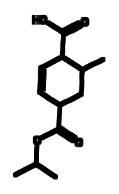 CC(C)OC(=O)C1C=CC(C(=O)O)C(C)C1